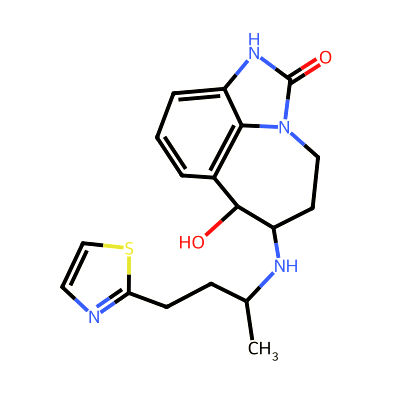 CC(CCc1nccs1)NC1CCn2c(=O)[nH]c3cccc(c32)C1O